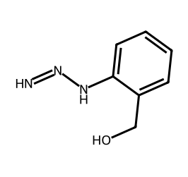 N=NNc1ccccc1CO